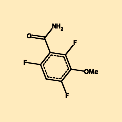 COc1c(F)cc(F)c(C(N)=O)c1F